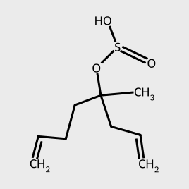 C=CCCC(C)(CC=C)OS(=O)O